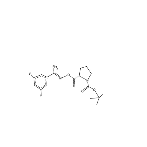 CC(C)(C)OC(=O)N1CCC[C@H]1C(=O)O/N=C(\N)c1cc(F)cc(F)c1